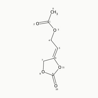 CC(=O)OC/C=C1\COC(=O)O1